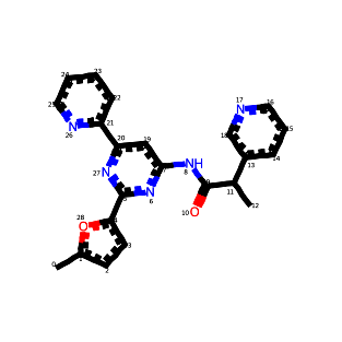 Cc1ccc(-c2nc(NC(=O)C(C)c3cccnc3)cc(-c3ccccn3)n2)o1